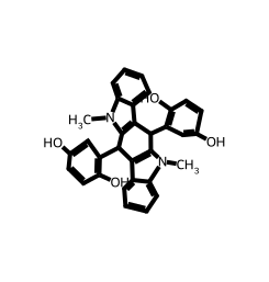 Cn1c2c(c3ccccc31)C(c1cc(O)ccc1O)c1c(c3ccccc3n1C)C2c1cc(O)ccc1O